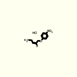 Cl.NC/C=C(/F)COc1ccc([N+](=O)[O-])cc1